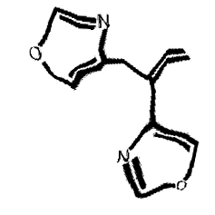 C=C(c1cocn1)c1cocn1